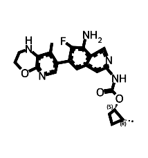 Cc1c(-c2cc3cc(NC(=O)O[C@H]4CC[C@H]4C)ncc3c(N)c2F)cnc2c1NCCO2